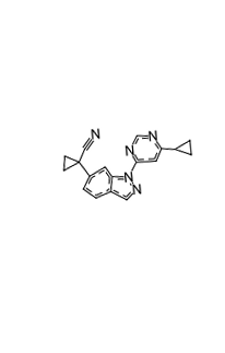 N#CC1(c2ccc3cnn(-c4cc(C5CC5)ncn4)c3c2)CC1